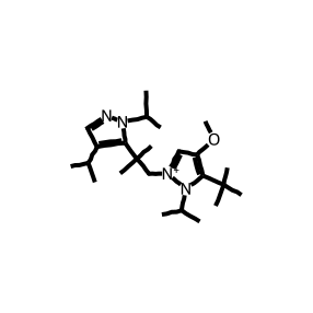 COc1c[n+](CC(C)(C)c2c(C(C)C)cnn2C(C)C)n(C(C)C)c1C(C)(C)C